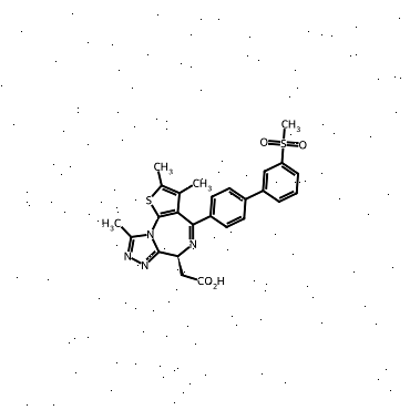 Cc1sc2c(c1C)C(c1ccc(-c3cccc(S(C)(=O)=O)c3)cc1)=N[C@@H](CC(=O)O)c1nnc(C)n1-2